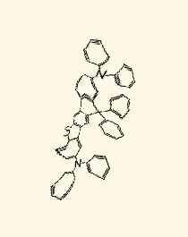 c1ccc(N(c2ccccc2)c2ccc3c(c2)C(c2ccccc2)(c2ccccc2)c2cc4c(cc2-3)sc2ccc(N(c3ccccc3)c3ccccc3)cc24)cc1